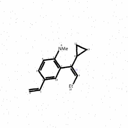 C=Cc1ccc(NC)c(/C(=C\CC)C2CC2)c1